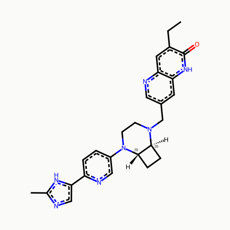 CCc1cc2ncc(CN3CCN(c4ccc(-c5cnc(C)[nH]5)nc4)[C@H]4CC[C@@H]43)cc2[nH]c1=O